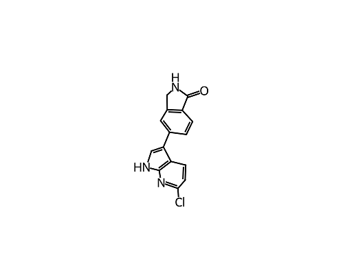 O=C1NCc2cc(-c3c[nH]c4nc(Cl)ccc34)ccc21